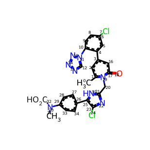 Cc1cc(-c2cc(Cl)ccc2-n2cnnn2)cc(=O)n1Cc1nc(Cl)c(-c2ccc(N(C)C(=O)O)cc2)[nH]1